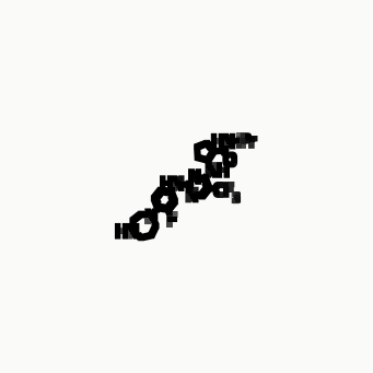 CC(C)NC(=O)C1CCCC1Nc1nc(Nc2ccc(N3CCCNCC3)c(F)c2)ncc1C(F)(F)F